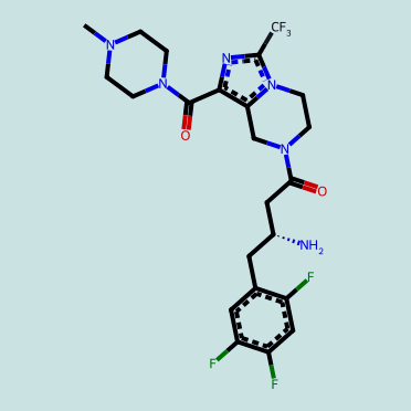 CN1CCN(C(=O)c2nc(C(F)(F)F)n3c2CN(C(=O)C[C@H](N)Cc2cc(F)c(F)cc2F)CC3)CC1